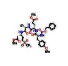 CC(C)[C@H](NC(=O)[C@H](CCC(=O)OC(C)(C)C)NC(=O)[C@H](Cc1ccc(OC(C)(C)C)cc1)NC(=O)OCc1ccccc1)C(=O)N[C@H](/C=C/S(C)(=O)=O)CC(=O)OC(C)(C)C